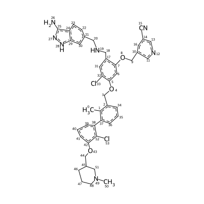 Cc1c(COc2cc(OCc3cncc(C#N)c3)c(CNCc3ccc4c(N)n[nH]c4c3)cc2Cl)cccc1-c1cccc(OCC2CCCN(C)C2)c1Cl